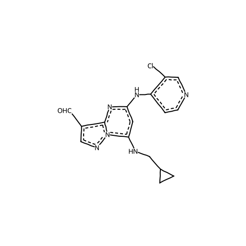 O=Cc1cnn2c(NCC3CC3)cc(Nc3ccncc3Cl)nc12